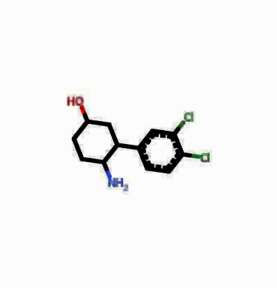 NC1CCC(O)CC1c1ccc(Cl)c(Cl)c1